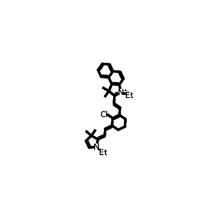 CCN1C=CC(C)(C)/C1=C\C=C1/CCCC(/C=C/C2=[N+](CC)c3ccc4ccccc4c3C2(C)C)=C1Cl